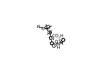 Cc1c(-c2ccc(-c3ccc4c(c3)N(C(=O)Nc3nc5ccccc5s3)CCC4)nc2C(=O)O)cnn1CC12CC3(C)CC(C)(C1)CC(OCCN(C)C)(C3)C2